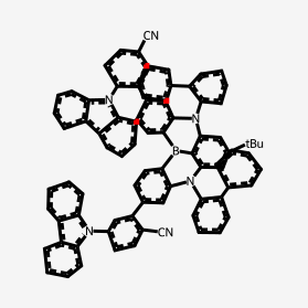 CC(C)(C)c1cc2c3c(c1)N(c1ccccc1-c1ccccc1)c1cc(-c4cc(C#N)ccc4-n4c5ccccc5c5ccccc54)ccc1B3c1ccc(-c3cc(-n4c5ccccc5c5ccccc54)ccc3C#N)cc1N2c1ccccc1-c1ccccc1